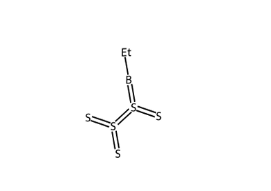 CCB=S(=S)=S(=S)=S